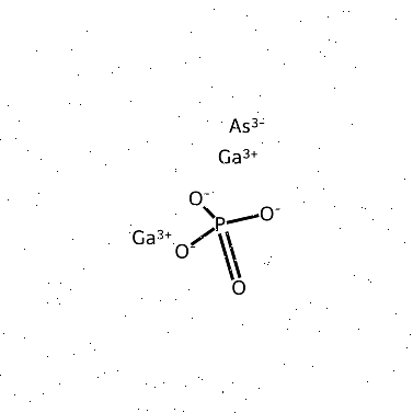 O=P([O-])([O-])[O-].[As-3].[Ga+3].[Ga+3]